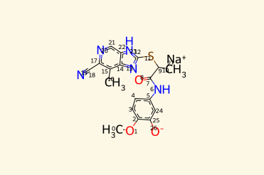 COc1ccc(NC(=O)C(C)Sc2nc3c(C)c(C#N)ncc3[nH]2)cc1[O-].[Na+]